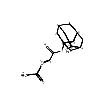 CCC(C)C(=O)OCC(=O)OC12CC3CC(C1)C(O)C(C3)C2